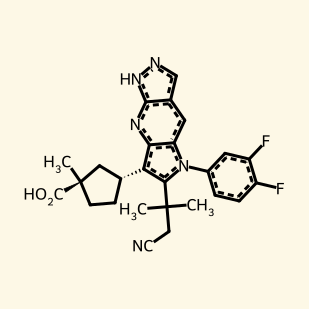 CC(C)(CC#N)c1c([C@@H]2CC[C@@](C)(C(=O)O)C2)c2nc3[nH]ncc3cc2n1-c1ccc(F)c(F)c1